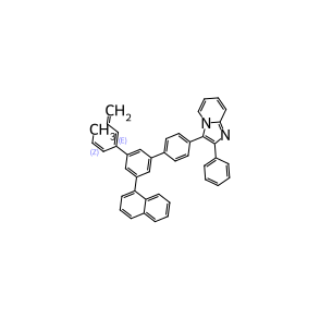 C=C/C=C(\C=C/C)c1cc(-c2ccc(-c3c(-c4ccccc4)nc4ccccn34)cc2)cc(-c2cccc3ccccc23)c1